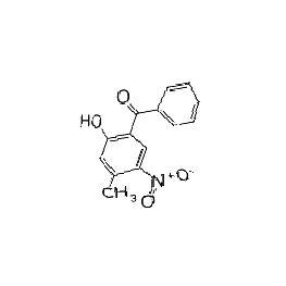 Cc1cc(O)c(C(=O)c2ccccc2)cc1[N+](=O)[O-]